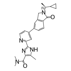 Cc1[nH]c(-c2cc(-c3ccc4c(c3)CN([C@@H](C)C3CC3)C4=O)ccn2)nc1C(=O)N(C)C